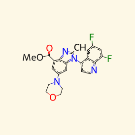 COC(=O)c1cc(N2CCOCC2)cc2c1nc(C)n2-c1ccnc2c(F)cc(F)cc12